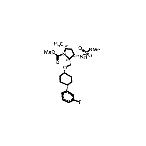 CNS(=O)(=O)N[C@H]1C[C@@H](C)N(C(=O)OC)[C@H]1CO[C@H]1CC[C@@H](c2cccc(F)c2)CC1